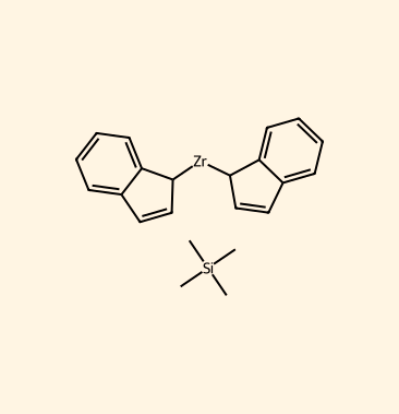 C1=C[CH]([Zr][CH]2C=Cc3ccccc32)c2ccccc21.C[Si](C)(C)C